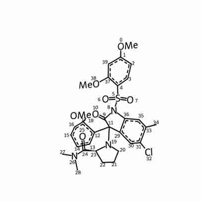 COc1ccc(S(=O)(=O)N2C(=O)C(c3ccccc3OC)(N3CCC[C@H]3C(=O)N(C)C)c3cc(Cl)c(C)cc32)c(OC)c1